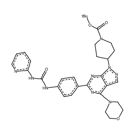 CC(C)(C)OC(=O)N1CCC(n2ncc3c(N4CCOCC4)nc(-c4ccc(NC(=O)Nc5ccccn5)cc4)nc32)CC1